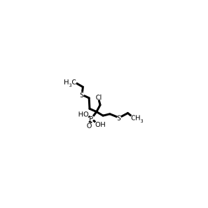 CCSCCC(CCl)(CCSCC)P(=O)(O)O